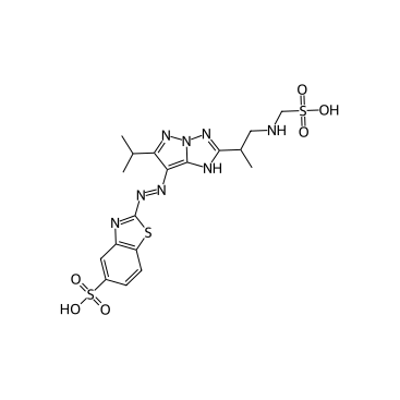 CC(C)c1nn2nc(C(C)CNCS(=O)(=O)O)[nH]c2c1N=Nc1nc2cc(S(=O)(=O)O)ccc2s1